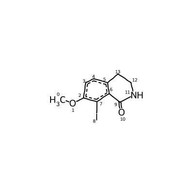 COc1ccc2c(c1I)C(=O)NCC2